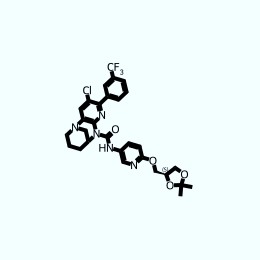 CC1(C)OC[C@H](COc2ccc(NC(=O)N3c4nc(-c5cccc(C(F)(F)F)c5)c(Cl)cc4N4CCCC3C4)cn2)O1